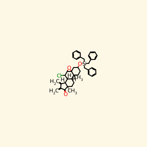 C=C1C(=C)[C@H]2[C@@H]3C(Cl)C4OC45CC(O[Si](Cc4ccccc4)(Cc4ccccc4)Cc4ccccc4)CC[C@]5(C)[C@@H]3CC[C@]2(C)C1=O